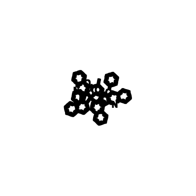 CC(CC1(CC2(CC(C)C(=O)Oc3ccccc3)c3cc4ccccc4nc3-c3c2ccc2ccccc32)c2cc3ccccc3nc2-c2c1ccc1ccccc21)C(=O)Oc1ccccc1